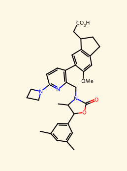 COc1cc2c(cc1-c1ccc(N3CCC3)nc1CN1C(=O)OC(c3cc(C)cc(C)c3)C1C)C(CC(=O)O)CC2